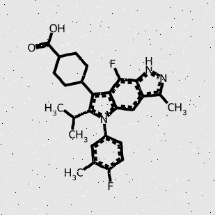 Cc1cc(-n2c(C(C)C)c(C3CCC(C(=O)O)CC3)c3c(F)c4[nH]nc(C)c4cc32)ccc1F